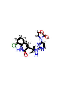 CC(C)(Nc1nccc(N2CCOC2=O)n1)c1cc2cccc(Cl)c2[nH]c1=O